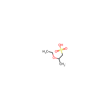 [CH2]C(CS(=O)(=O)O)OCC